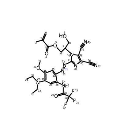 C=C(C)C(=O)OCC(CO)n1c(/N=N/c2cc(OC)c(N(CC)CC)cc2NC(=O)C(F)(F)F)nc(C#N)c1C#N